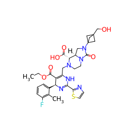 CCOC(=O)C1=C(CN2CCN3C(=O)N(C45CC(CO)(C4)C5)C[C@@H]3[C@H]2C(=O)O)NC(c2nccs2)=N[C@H]1c1cccc(F)c1C